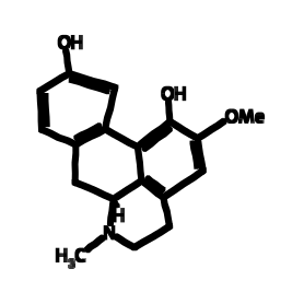 COc1cc2c3c(c1O)-c1cc(O)ccc1C[C@H]3N(C)CC2